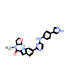 CN(C(=O)c1cc2ccc(-c3nccc(Nc4ccc(-c5cn[nH]c5)cc4)n3)cc2[nH]1)C1CCOC1